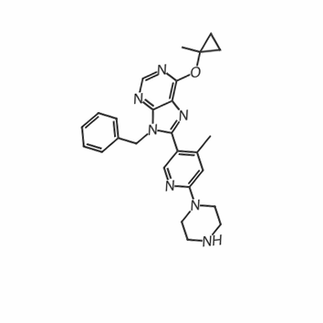 Cc1cc(N2CCNCC2)ncc1-c1nc2c(OC3(C)CC3)ncnc2n1Cc1ccccc1